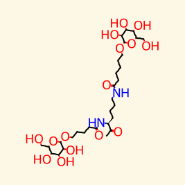 CC(=O)[C@H](CCCCNC(=O)CCCCCOC1OC(CO)C(O)C(O)C1O)NC(=O)CCCCOC1OC(CO)C(O)C(O)C1O